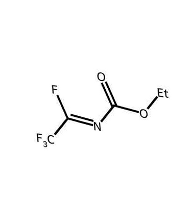 CCOC(=O)N=C(F)C(F)(F)F